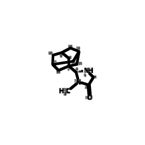 CN1C(=O)CN[C@H]1C12CC3CC(CC(C3)C1)C2